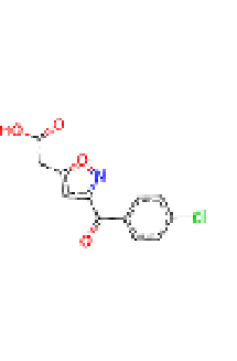 O=C(O)Cc1cc(C(=O)c2ccc(Cl)cc2)no1